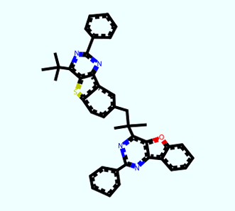 CC(C)(C)c1nc(-c2ccccc2)nc2c1sc1ccc(CC(C)(C)c3nc(-c4ccccc4)nc4c3oc3ccccc34)cc12